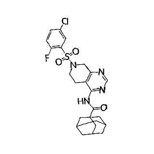 O=C(Nc1ncnc2c1CCN(S(=O)(=O)c1cc(Cl)ccc1F)C2)C12CC3CC(CC(C3)C1)C2